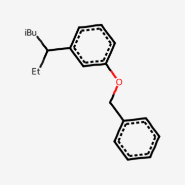 CCC(C)C(CC)c1cccc(OCc2ccccc2)c1